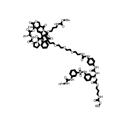 CCCNC(=O)Nc1cccc(S(=O)(=O)Nc2cccc([C@@H](CC(=O)OCCCNC(=O)OC(C)(C)C)NC(=O)Nc3ccc(NC(=O)NCCOCCOCCOCCC(=O)N[C@@H](CC(=O)OCCCNC(=O)OC(C)(C)C)C(=O)N4CCC[C@H]4C(=O)N[C@H](C(=O)O[C@]4(CC)C(=O)OCc5c4cc4n(c5=O)Cc5c-4nc4ccccc4c5CC)C(C)C)cc3)c2)c1